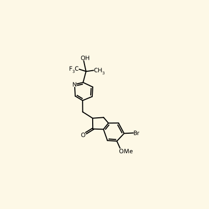 COc1cc2c(cc1Br)CC(Cc1ccc(C(C)(O)C(F)(F)F)nc1)C2=O